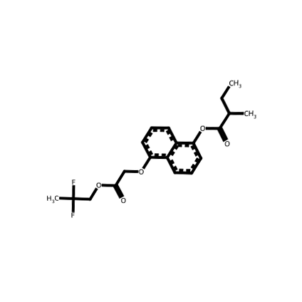 CCC(C)C(=O)Oc1cccc2c(OCC(=O)OCC(C)(F)F)cccc12